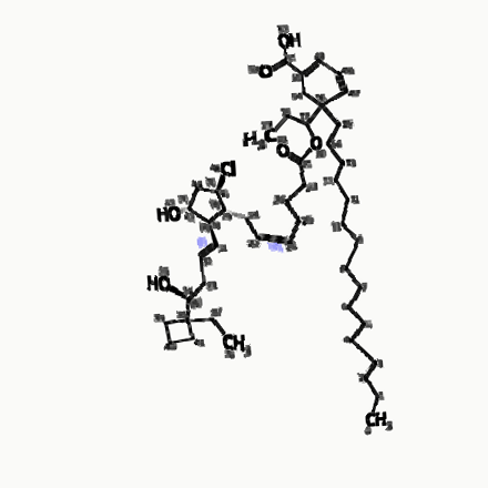 CCCCCCCCCCCCCCCCC1(C(CC)OC(=O)CCC/C=C\C[C@@H]2[C@@H](/C=C/C[C@H](O)C3(CC)CCC3)[C@H](O)C[C@H]2Cl)C=CC=C(C(=O)O)C1